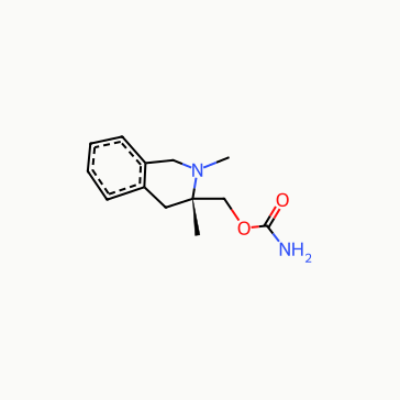 CN1Cc2ccccc2C[C@@]1(C)COC(N)=O